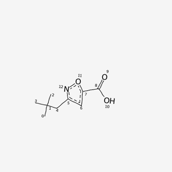 CC(C)(C)Cc1cc(C(=O)O)on1